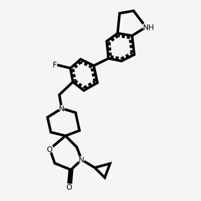 O=C1COC2(CCN(Cc3ccc(-c4ccc5c(c4)CCN5)cc3F)CC2)CN1C1CC1